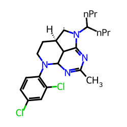 CCCC(CCC)N1[CH][C@@H]2CCN(c3ccc(Cl)cc3Cl)C3N=C(C)N=C1C32